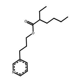 CCCCC(CC)C(=O)OCCCc1cccnc1